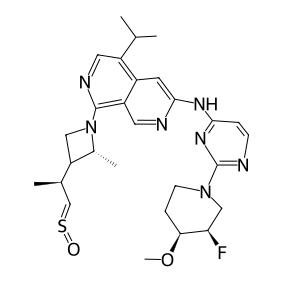 CO[C@H]1CCN(c2nccc(Nc3cc4c(C(C)C)cnc(N5CC([C@H](C)C=S=O)[C@H]5C)c4cn3)n2)C[C@H]1F